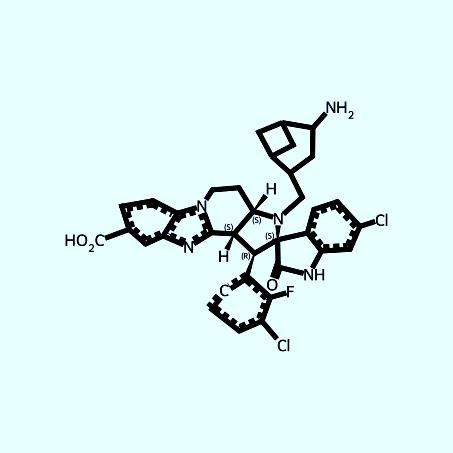 NC1CC(CN2[C@H]3CCn4c(nc5cc(C(=O)O)ccc54)[C@H]3[C@H](c3cccc(Cl)c3F)[C@]23C(=O)Nc2cc(Cl)ccc23)C2CC1C2